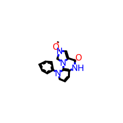 CON1C=C2C(=O)NC3=C(N2C1)N(c1ccccc1)CC=C3